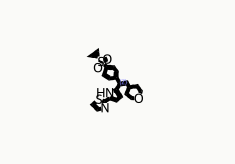 O=S(=O)(c1ccc(/C(=C/C2CCOCC2)c2ccc(-c3nccs3)[nH]2)cc1)C1CC1